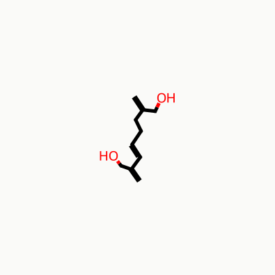 C=C(C=CCCC(=C)CO)CO